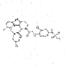 CS(=O)(=O)Nc1ccc(OCC(=O)N2CCc3nc4ccc(F)cn4c3C2c2ccc(Cl)cc2F)c(Cl)n1